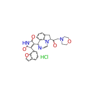 Cl.O=C1NC(=O)C(c2cccc3ccoc23)=C1C1=NC=CN2c3c(cccc31)CC2C(=O)CN1CCOCC1